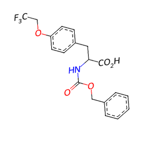 O=C(NC(Cc1ccc(OCC(F)(F)F)cc1)C(=O)O)OCc1ccccc1